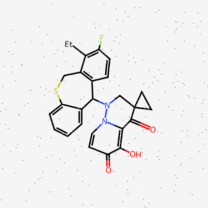 CCc1c(F)ccc2c1CSc1ccccc1C2N1CC2(CC2)C(=O)c2c(O)c(=O)ccn21